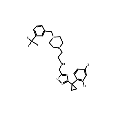 FC(F)(F)c1cccc(CN2CCN(CCNCc3nc(C4(c5ccc(Cl)cc5Cl)CC4)no3)CC2)c1